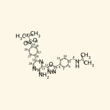 CC(C)NCc1ccc(-c2nnc(-c3nc(-c4ccc(S(=O)(=O)C(C)C)cc4)cnc3N)o2)cc1